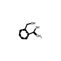 C=C(S)c1ccccc1CO